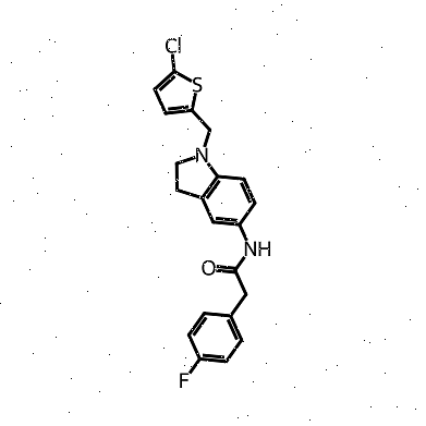 O=C(Cc1ccc(F)cc1)Nc1ccc2c(c1)CCN2Cc1ccc(Cl)s1